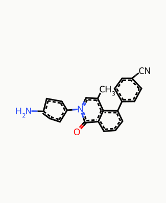 Cc1cn(-c2ccc(N)cc2)c(=O)c2cccc(-c3ccc(C#N)cc3)c12